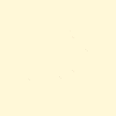 CC(C)N1CC[C@@H](N(C)CCC(C)N2CCN(CCCCN(C)C)CC2)C1